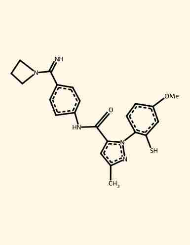 COc1ccc(-n2nc(C)cc2C(=O)Nc2ccc(C(=N)N3CCC3)cc2)c(S)c1